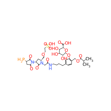 CC(C)C(=O)OCc1ccc(CCCCNC(=O)CN2C(=O)[C@@H](N3C(=O)CC(P)C3=O)C[C@H]2COCCS(=O)(=O)O)cc1O[C@@H]1O[C@H](C(=O)O)[C@@H](O)[C@H](O)[C@H]1O